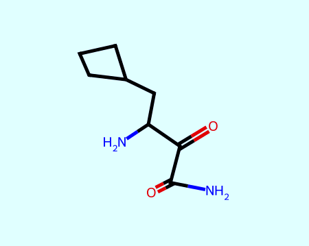 NC(=O)C(=O)C(N)CC1CCC1